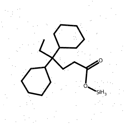 CCC(CCC(=O)O[SiH3])(C1CCCCC1)C1CCCCC1